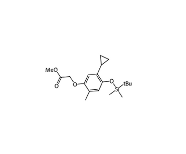 COC(=O)COc1cc(C2CC2)c(O[Si](C)(C)C(C)(C)C)cc1C